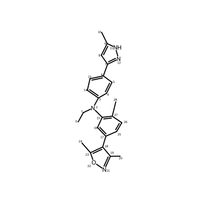 CCN(c1ccc(-c2cc(C)[nH]n2)cc1)c1cc(-c2c(C)noc2C)ccc1C